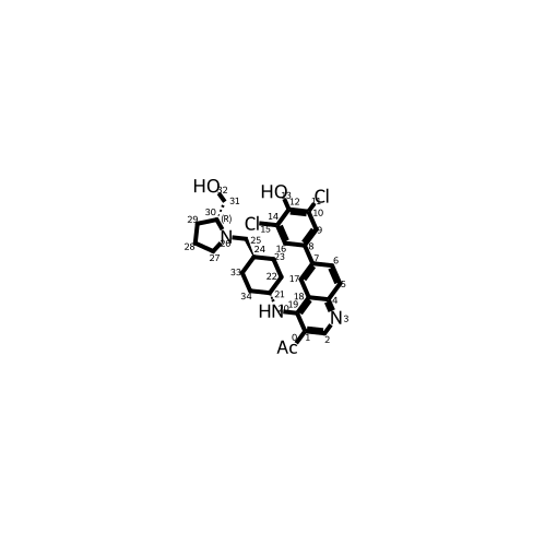 CC(=O)c1cnc2ccc(-c3cc(Cl)c(O)c(Cl)c3)cc2c1N[C@H]1CC[C@H](CN2CCC[C@@H]2CO)CC1